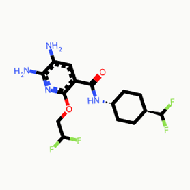 Nc1cc(C(=O)N[C@H]2CC[C@H](C(F)F)CC2)c(OCC(F)F)nc1N